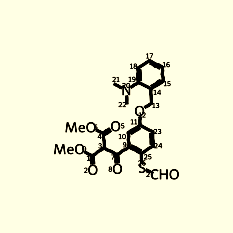 COC(=O)C(C(=O)OC)C(=O)c1cc(OCc2ccccc2N(C)C)ccc1SC=O